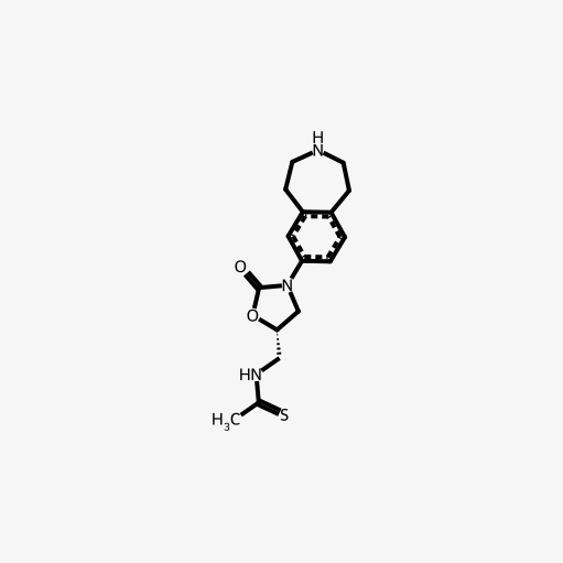 CC(=S)NC[C@H]1CN(c2ccc3c(c2)CCNCC3)C(=O)O1